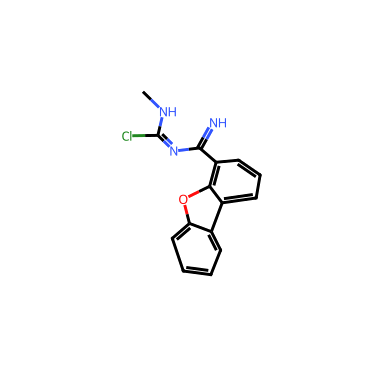 CN/C(Cl)=N\C(=N)c1cccc2c1oc1ccccc12